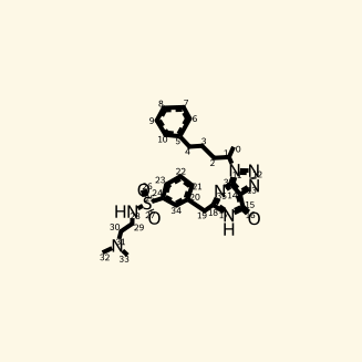 CC(CCCc1ccccc1)n1nnc2c(=O)[nH]c(Cc3cccc(S(=O)(=O)NCCN(C)C)c3)nc21